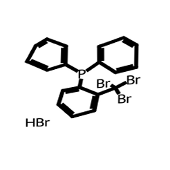 Br.BrC(Br)(Br)c1ccccc1P(c1ccccc1)c1ccccc1